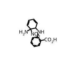 NC1([N+](=O)[O-])C=CC=CC1Nc1ccccc1C(=O)O